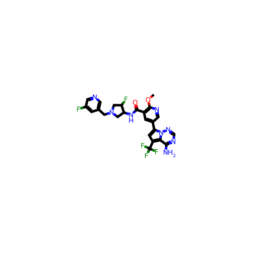 COc1ncc(-c2cc(C(F)(F)F)c3c(N)ncnn23)cc1C(=O)NC1CN(Cc2cncc(F)c2)CC1F